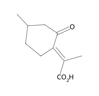 CC(C(=O)O)=C1CCC(C)CC1=O